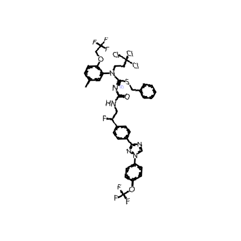 Cc1ccc(OCC(F)(F)F)c(N(CCC(Cl)(Cl)Cl)/C(=N/C(=O)NCC(F)c2ccc(-c3ncn(-c4ccc(OC(F)(F)F)cc4)n3)cc2)SCc2ccccc2)c1